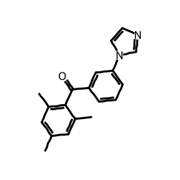 Cc1cc(C)c(C(=O)c2cccc(-n3ccnc3)c2)c(C)c1